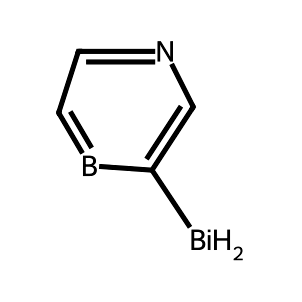 [BiH2][c]1bccnc1